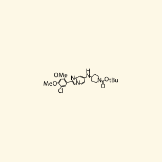 COc1cc(OC)c(-c2cn3ccc(NC4CCN(C(=O)OC(C)(C)C)CC4)cc3n2)cc1Cl